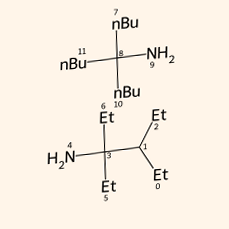 CCC(CC)C(N)(CC)CC.CCCCC(N)(CCCC)CCCC